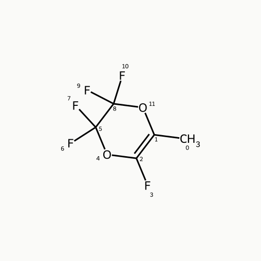 CC1=C(F)OC(F)(F)C(F)(F)O1